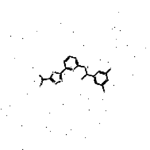 CC(Nc1nccc(-c2nnc(C(F)F)o2)n1)c1cc(F)cc(F)c1